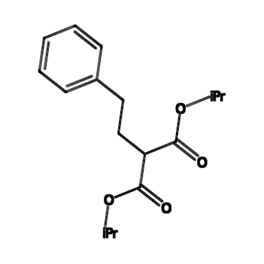 CC(C)OC(=O)C(CCc1ccccc1)C(=O)OC(C)C